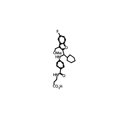 COCc1c(C(Nc2ccc(C(=O)NCCC(=O)O)cc2)C2CCCCC2)oc2ccc(F)cc12